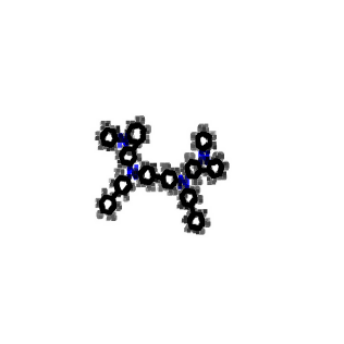 C1=CCC(c2ccc(N(C3=CC=C4C(C3)C3=CC(C=CC=C3)N4c3ccccc3)c3ccc(C4=CCC(N(c5ccc(-c6ccccc6)cc5)c5ccc6c(c5)c5ccccc5n6-c5ccccc5)C=C4)cc3)cc2)C=C1